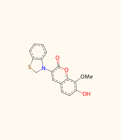 COc1c(O)ccc2cc(N3CSc4ccccc43)c(=O)oc12